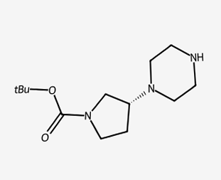 CC(C)(C)OC(=O)N1CC[C@@H](N2CCNCC2)C1